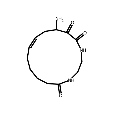 NC1CC=CCCCCC(=O)NCCNC(=O)C1=O